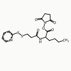 CCCCC(NC(=O)CCSSc1ccccn1)C(=O)ON1C(=O)CCC1=O